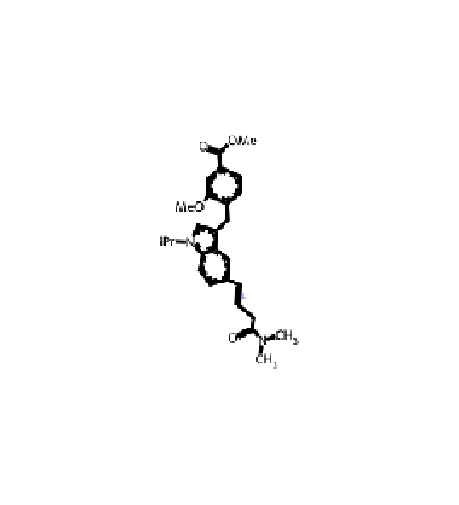 COC(=O)c1ccc(Cc2cn(C(C)C)c3ccc(/C=C/CC(=O)N(C)C)cc23)c(OC)c1